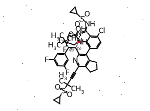 CC(C)(C)[C@H](c1cc(F)cc(F)c1)[C@H](NC(=O)O)c1nc(C#CC(C)(C)S(=O)(=O)C2CC2)c2c(c1-c1ccc(Cl)c3c(NS(=O)(=O)C4CC4)nn(CC(F)(F)F)c13)CCC2